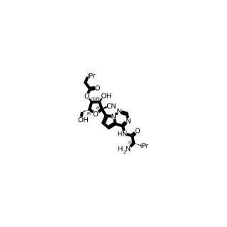 CC(C)CC(=O)O[C@H]1[C@@H](O)[C@](C#N)(c2ccc3c(NC(=O)[C@@H](N)C(C)C)ncnn23)O[C@@H]1CO